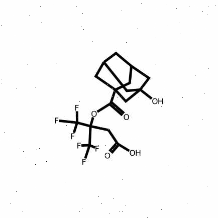 O=C(O)CC(OC(=O)C12CC3CC(CC(O)(C3)C1)C2)(C(F)(F)F)C(F)(F)F